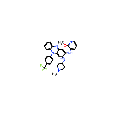 COc1ncccc1Nc1cc2nc3ccccc3n(-c3ccc(C(F)(F)F)cc3)c-2c/c1=N\C1CCN(C)CC1